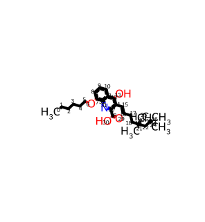 CCCCCCOc1cccc2c(O)c(C=CCCC(C)(C)CC(C)(C)C)c(C(=O)O)nc12